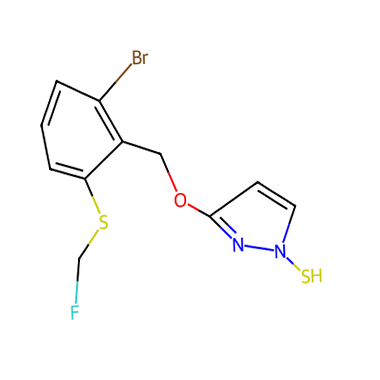 FCSc1cccc(Br)c1COc1ccn(S)n1